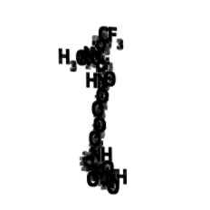 Cn1cc2c3cc(C(=O)NCCOCCOCCOCCOCCNc4cccc5c4CN(C4CCC(=O)NC4=O)C5=O)ccc3n(-c3ccc(C(F)(F)F)cc3)c2n1